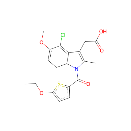 CCOc1ccc(C(=O)N2C(C)=C(CC(=O)O)C3=C(Cl)C(OC)=CCC32)s1